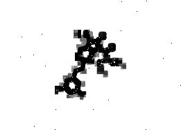 CN(C)C(=O)n1c(=O)n(C)c2cnc(CCc3cc(F)cc(F)c3)nc21